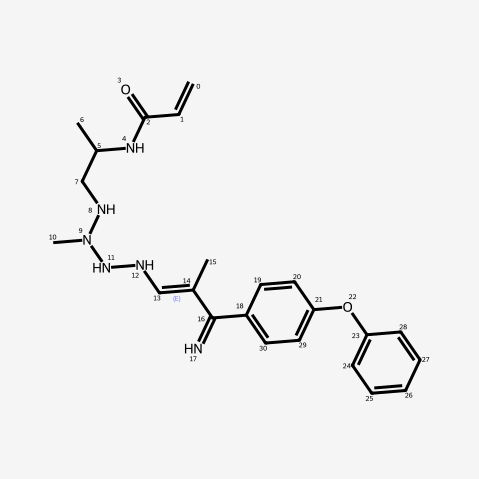 C=CC(=O)NC(C)CNN(C)NN/C=C(\C)C(=N)c1ccc(Oc2ccccc2)cc1